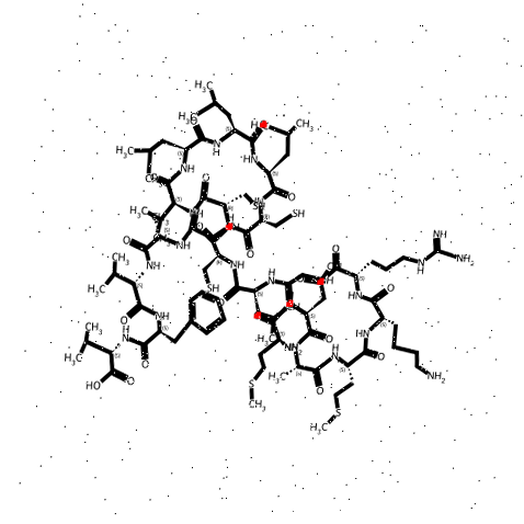 CSCC[C@H](NC(=O)[C@H](C)NC(=O)[C@H](CC(=O)O)NC(=O)[C@@H](N)CCSC)C(=O)N[C@@H](CCCCN)C(=O)N[C@@H](CCCNC(=N)N)C(=O)NCC(=O)N[C@@H](CC(C)C)C(=O)N[C@@H](CS)C(=O)N[C@@H](CS)C(=O)N[C@H](C(=O)N[C@@H](CC(C)C)C(=O)N[C@@H](CC(C)C)C(=O)N[C@@H](CC(C)C)C(=O)N[C@@H](CS)C(=O)NCC(=O)N[C@@H](C)C(=O)N[C@H](C(=O)N[C@@H](Cc1ccccc1)C(=O)N[C@H](C(=O)O)C(C)C)C(C)C)C(C)C